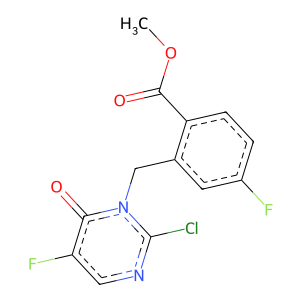 COC(=O)c1ccc(F)cc1Cn1c(Cl)ncc(F)c1=O